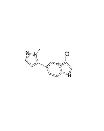 Cn1nccc1-c1ccc2ncc(Cl)n2c1